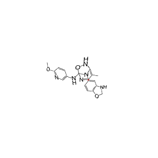 COc1ccc(NC23N=CC(C)=C(NO2)N3c2ccc3c(c2)NCO3)cn1